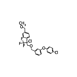 COCc1ccc(C(Cl)(COCc2cccc(Oc3ccc(Cl)cc3)c2)C(F)(F)F)cc1